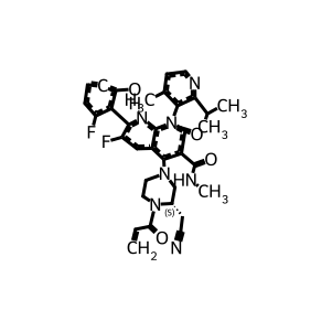 C=CC(=O)N1CCN(c2c(C(=O)NC)c(=O)n(-c3c(C)ccnc3C(C)C)c3nc(-c4c(O)cccc4F)c(F)cc23)C[C@@H]1CC#N